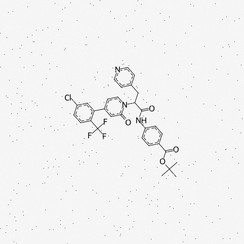 CC(C)(C)OC(=O)c1ccc(NC(=O)C(Cc2ccncc2)n2ccc(-c3cc(Cl)ccc3C(F)(F)F)cc2=O)cc1